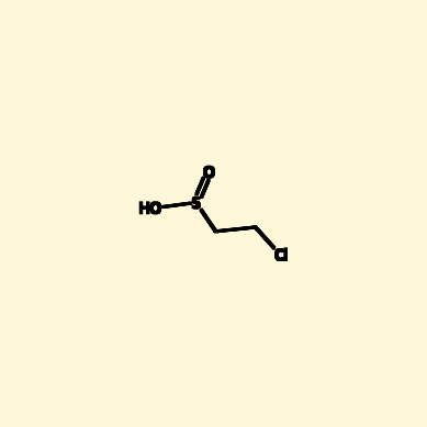 O=S(O)CCCl